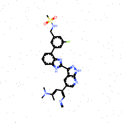 C=N/C=C(\C=C(/C)N(C)C)c1cnc2[nH]nc(-c3nc4c(-c5cc(F)cc(CNS(C)(=O)=O)c5)cccc4[nH]3)c2c1